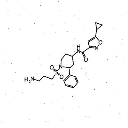 NCCCS(=O)(=O)N1CCC(NC(=O)c2cc(C3CC3)on2)CC1c1ccccc1